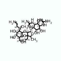 C[C@@H]1O[C@@H](OC2[C@@H](NC(=N)N)C(O)C(NC(=N)N)[C@H](O)[C@@H]2O)C(OC2OC(CO)[C@H](O)[C@H](O)C2N(C)CCN)[C@]1(O)CO